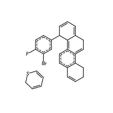 C1=CCSC=C1.Fc1ccc(C2C=CC=C3CC=c4c5c(ccc4=C32)C=CCC5)cc1Br